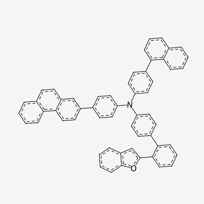 c1ccc(-c2cc3ccccc3o2)c(-c2ccc(N(c3ccc(-c4ccc5c(ccc6ccccc65)c4)cc3)c3ccc(-c4cccc5ccccc45)cc3)cc2)c1